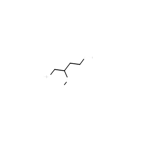 CCCCCCCC(CC=O)OO